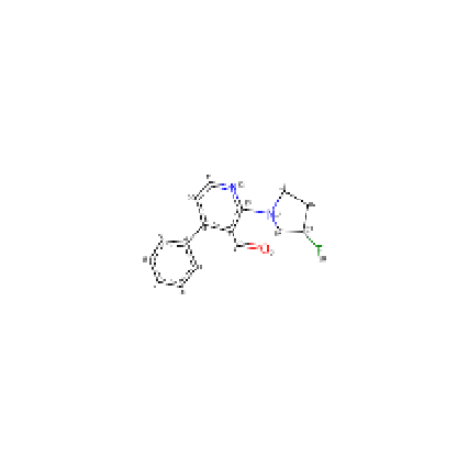 O=Cc1c(-c2ccccc2)ccnc1N1CCC(F)C1